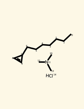 CCCCCCCC1C=C1.CN(C)C.Cl